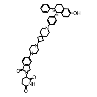 O=C1CCC(N2Cc3cc(N4CCN(C5CC6(CCN(c7ccc([C@@H]8c9ccc(O)cc9CC[C@@H]8c8ccccc8)cc7)CC6)C5)CC4)ccc3C2=O)C(=O)N1